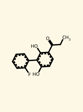 CCC(=O)c1ccc(O)c(-c2ccccc2F)c1O